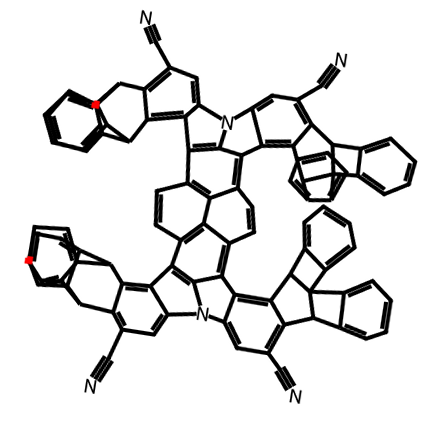 N#Cc1cc2c(c3c1C1c4ccccc4C3c3ccccc31)c1c3ccc4c5c(ccc(c35)c3c5c6c(c(C#N)cc5n2c13)C1c2ccccc2C12c1ccccc1C62)c1c2c3c(c(C#N)cc2n2c5cc(C#N)c6c(c5c4c12)C1c2ccccc2C6c2ccccc21)C1c2ccccc2C12c1ccccc1C32